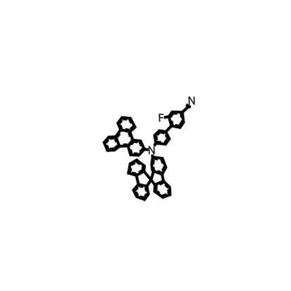 N#Cc1ccc(-c2ccc(N(c3ccc4c(c3)C3(c5ccccc5-c5ccccc53)c3ccccc3-4)c3ccc4c5ccccc5c5ccccc5c4c3)cc2)c(F)c1